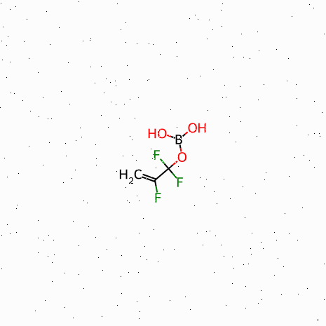 C=C(F)C(F)(F)OB(O)O